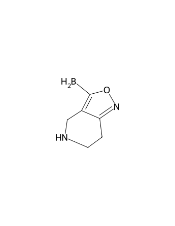 Bc1onc2c1CNCC2